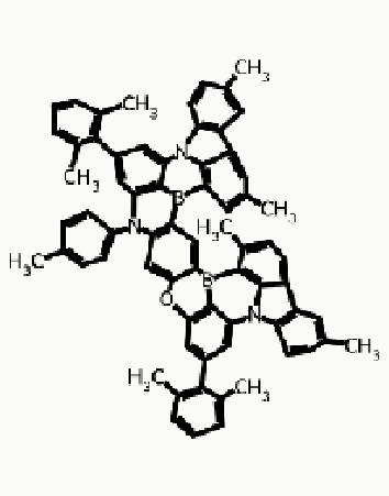 Cc1ccc(N2c3cc4c(cc3B3c5c2cc(-c2c(C)cccc2C)cc5-n2c5ccc(C)cc5c5cc(C)cc3c52)B2c3c(cc(-c5c(C)cccc5C)cc3-n3c5ccc(C)cc5c5ccc(C)c2c53)O4)cc1